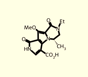 CCN1C[C@H](C)n2c(c(OC)c3c(=O)[nH]cc(C(=O)O)c32)C1=O